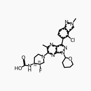 Cc1nc2c(-c3ccc4nn(C)cc4c3Cl)nn(C3CCCCO3)c2nc1N1CC[C@H](NC(=O)O)[C@H](F)C1